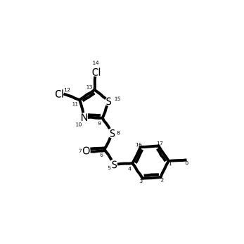 Cc1ccc(SC(=O)Sc2nc(Cl)c(Cl)s2)cc1